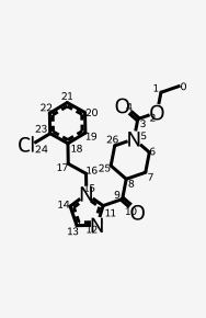 CCOC(=O)N1CCC(C(=O)c2nccn2CCc2ccccc2Cl)CC1